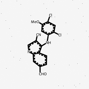 COc1cc(Nc2c(C#N)cnc3cc(C=O)ccc23)c(Cl)cc1Cl